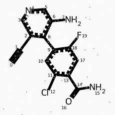 C#Cc1cncc(N)c1-c1cc(Cl)c(C(N)=O)cc1F